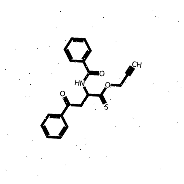 C#CCOC(=S)C(CC(=O)c1ccccc1)NC(=O)c1ccccc1